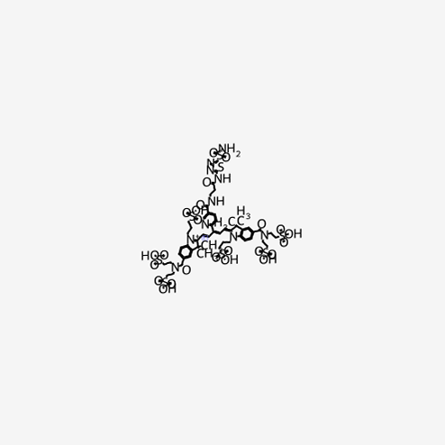 CC1(C)C(=CC=C(/C=C/C2=[N+](CCCS(=O)(=O)O)c3ccc(C(=O)N(CCS(=O)(=O)O)CCS(=O)(=O)O)cc3C2(C)C)c2ccc(C(=O)NCCC(=O)Nc3nnc(S(N)(=O)=O)s3)cn2)N(CCCS(=O)(=O)O)c2ccc(C(=O)N(CCS(=O)(=O)O)CCS(=O)(=O)O)cc21